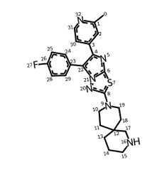 Cc1cc(-c2nc3sc(N4CCC5(CCCNC5)CC4)nn3c2-c2ccc(F)cc2)ccn1